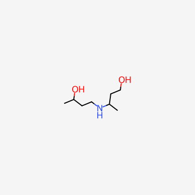 CC(O)CCNC(C)CCO